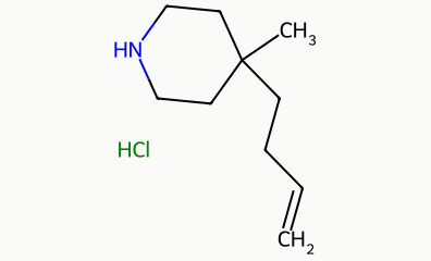 C=CCCC1(C)CCNCC1.Cl